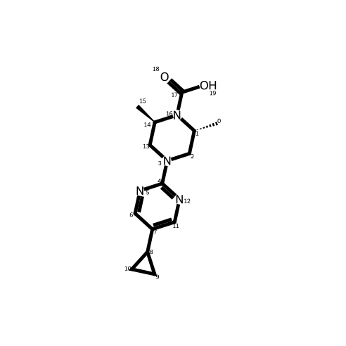 C[C@@H]1CN(c2ncc(C3CC3)cn2)C[C@@H](C)N1C(=O)O